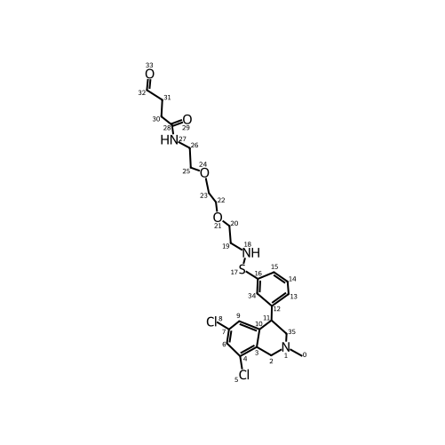 CN1Cc2c(Cl)cc(Cl)cc2C(c2cccc(SNCCOCCOCCNC(=O)CCC=O)c2)C1